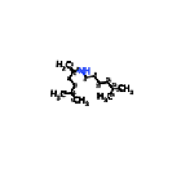 C=C(CCC(C)C)NCCCCC(C)C